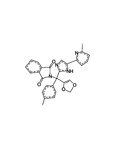 Cc1ccc(C(C2=COCO2)(c2ncc(-c3cccc(C)n3)[nH]2)N2C(=O)c3ccccc3C2=O)cc1